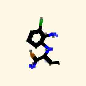 C/C=C(\Nc1cccc(Cl)c1N)C(N)=S